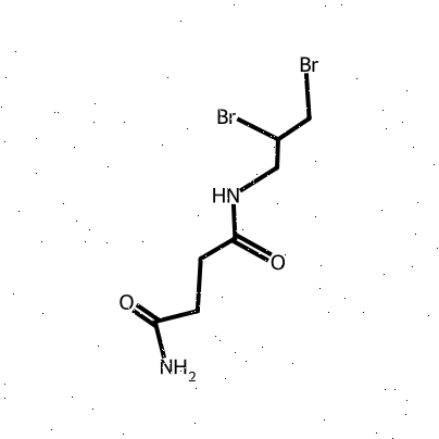 NC(=O)CCC(=O)NCC(Br)CBr